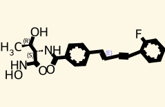 C[C@@H](O)[C@H](NC(=O)c1ccc(/C=C/C#Cc2ccccc2F)cc1)C(=O)NO